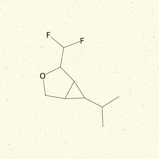 CC(C)C1C2COC(C(F)F)C21